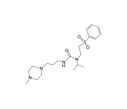 CC(C)N(CCS(=O)(=O)c1ccccc1)C(=O)NCCCN1CCN(C)CC1